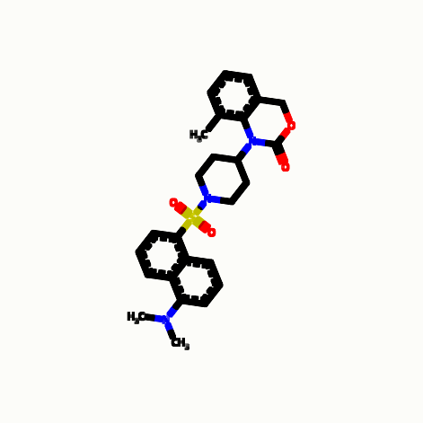 Cc1cccc2c1N(C1CCN(S(=O)(=O)c3cccc4c(N(C)C)cccc34)CC1)C(=O)OC2